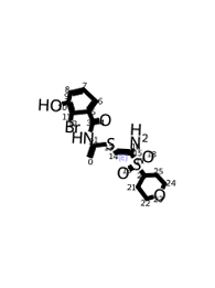 C=C(NC(=O)c1cccc(O)c1Br)S/C=C(\N)S(=O)(=O)C1CCOCC1